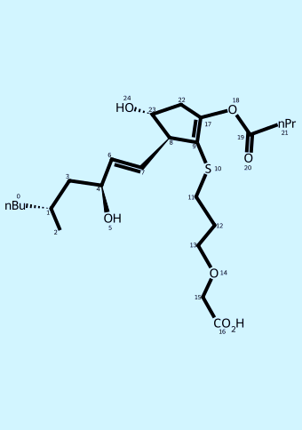 CCCC[C@@H](C)C[C@H](O)/C=C/[C@@H]1C(SCCCOCC(=O)O)=C(OC(=O)CCC)C[C@H]1O